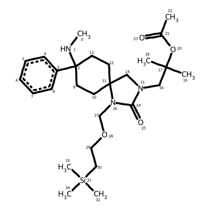 CNC1(c2ccccc2)CCC2(CC1)CN(CC(C)(C)OC(C)=O)C(=O)N2COCC[Si](C)(C)C